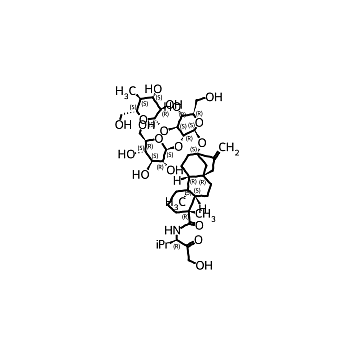 C=C1C[C@@]23CC[C@H]4[C@@](C)(CCC[C@@]4(C)C(=O)N[C@@H](C(=O)CO)C(C)C)[C@@H]2CC[C@]1(O[C@@H]1O[C@H](CO)[C@@H](O)[C@H](O[C@@H]2O[C@H](CO)[C@@H](C)[C@H](O)[C@H]2O)[C@H]1O[C@@H]1O[C@H](CO)[C@@H](O)[C@H](O)[C@H]1O)C3